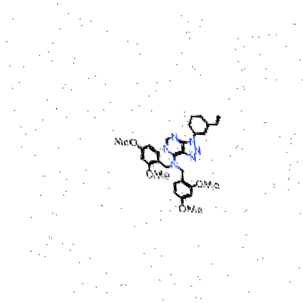 C=CC1CCCC(n2nnc3c(N(Cc4ccc(OC)cc4OC)Cc4ccc(OC)cc4OC)ncnc32)C1